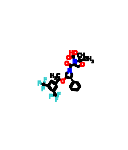 C[C@@H](O[C@H]1CN(C(=O)C2COC(C)(C)N2C(=O)O)C[C@@H]1c1ccccc1)c1cc(C(F)(F)F)cc(C(F)(F)F)c1